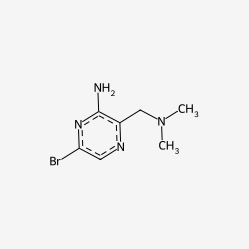 CN(C)Cc1ncc(Br)nc1N